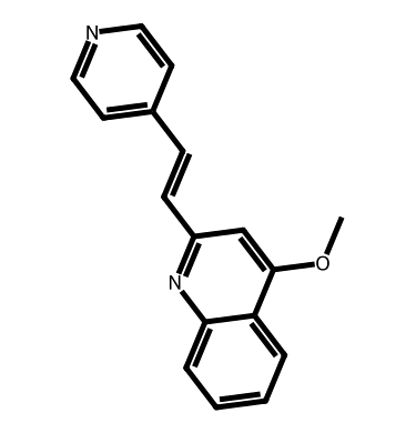 COc1cc(/C=C/c2ccncc2)nc2ccccc12